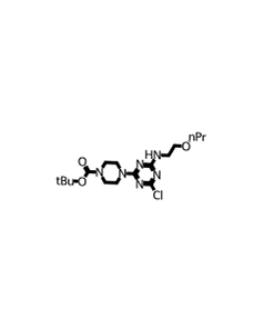 CCCOCCNc1nc(Cl)nc(N2CCN(C(=O)OC(C)(C)C)CC2)n1